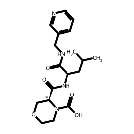 CC(C)CC(NC(=O)[C@@H]1COCCN1C(=O)O)C(=O)NCc1cccnc1